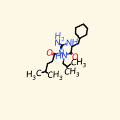 CC(C)CCC(=O)N=C(N)NC(CC1CCCCC1)C(=O)NCC(C)C